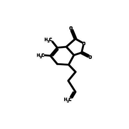 C=CCCC1CC(C)=C(C)C2C(=O)OC(=O)C12